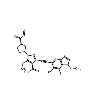 C=CC(=O)N1CC[C@H](n2nc(C#Cc3cc4ncn(CC)c4c(F)c3Cl)c(C(N)=O)c2NC)C1